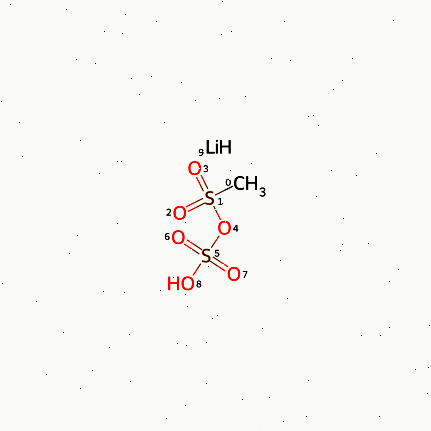 CS(=O)(=O)OS(=O)(=O)O.[LiH]